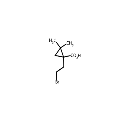 CC1(C)CC1(CCBr)C(=O)O